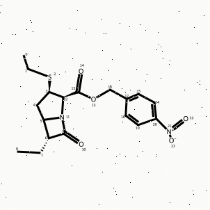 CCS[C@@H]1CC2[C@@H](CC)C(=O)N2[C@@H]1C(=O)OCc1ccc([N+](=O)[O-])cc1